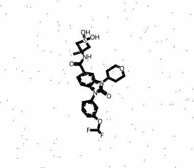 CC1(NC(=O)c2ccc3c(c2)n(C2CCOCC2)c(=O)n3-c2cccc(OC(F)F)c2)CS(O)(O)C1